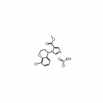 COC(=O)c1cncn1C1CCOc2c(Cl)cccc21.O=[N+]([O-])O